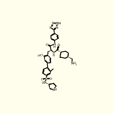 Cc1cc(S(=O)(=O)N[C@@H]2CCNC2)ccc1-c1ccc(C[C@H](NC(=O)[C@H]2CC[C@H](CN)CC2)C(=O)Nc2ccc(-c3nn[nH]n3)cc2)cc1.Cl